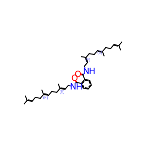 CC(C)=CCC/C(C)=C/CC/C(C)=C/CNC(=O)c1ccccc1C(=O)NC/C=C(\C)CC/C=C(\C)CCC=C(C)C